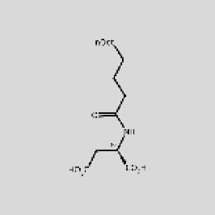 CCCCCCCCCCCC(=O)N[C@H](CC(=O)O)C(=O)O